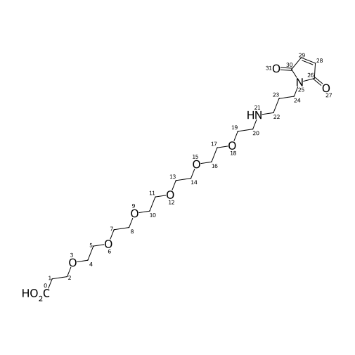 O=C(O)CCOCCOCCOCCOCCOCCOCCNCCCN1C(=O)C=CC1=O